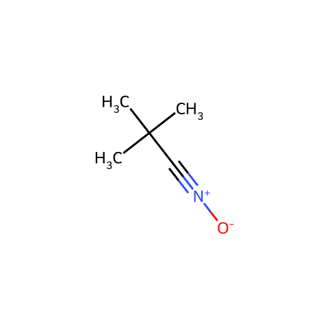 CC(C)(C)C#[N+][O-]